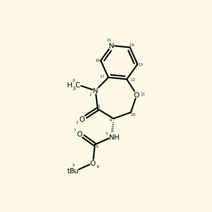 CN1C(=O)[C@@H](NC(=O)OC(C)(C)C)COc2ccncc21